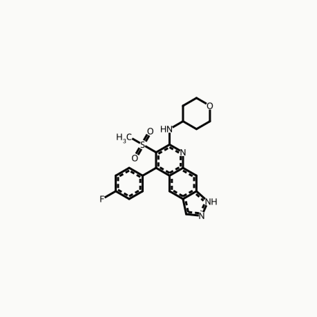 CS(=O)(=O)c1c(NC2CCOCC2)nc2cc3[nH]ncc3cc2c1-c1ccc(F)cc1